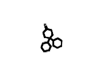 O=C1CCC(C2CCCCC2)(C2CCCCC2)CC1